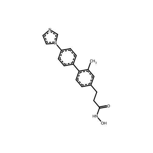 Cc1cc(CCC(=O)NO)ccc1-c1ccc(-n2ccnc2)cc1